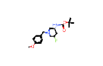 COc1ccc(CN2C[C@H](F)C[C@@H](NC(=O)OC(C)(C)C)C2)cc1